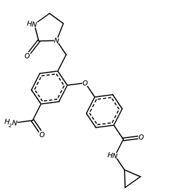 NC(=O)c1ccc(CN2CCNC2=O)c(Oc2ccc(C(=O)NC3CC3)cc2)c1